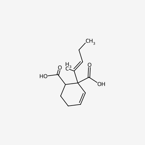 CCC=C(C)C1(C(=O)O)C=CCCC1C(=O)O